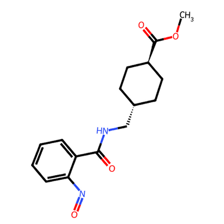 COC(=O)[C@H]1CC[C@H](CNC(=O)c2ccccc2N=O)CC1